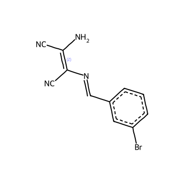 N#C/C(N)=C(\C#N)N=Cc1cccc(Br)c1